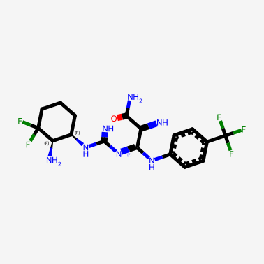 N=C(/N=C(/Nc1ccc(C(F)(F)F)cc1)C(=N)C(N)=O)N[C@@H]1CCCC(F)(F)[C@@H]1N